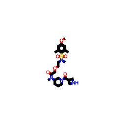 COc1cc(C)c(S(=O)(=O)N(C)CCOCC(=O)N(C)C2CCCN(C(=O)C3CNC3)C2)c(C)c1